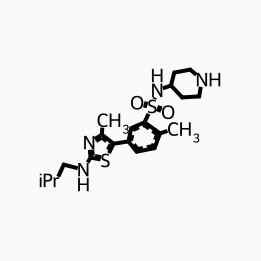 Cc1ccc(-c2sc(NCC(C)C)nc2C)cc1S(=O)(=O)NC1CCNCC1